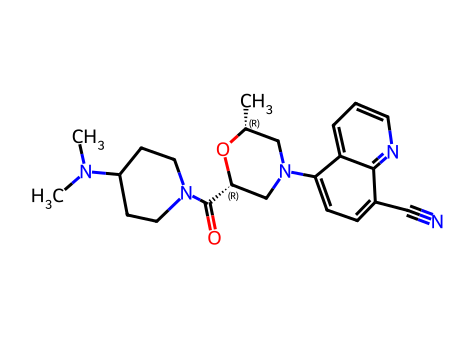 C[C@@H]1CN(c2ccc(C#N)c3ncccc23)C[C@H](C(=O)N2CCC(N(C)C)CC2)O1